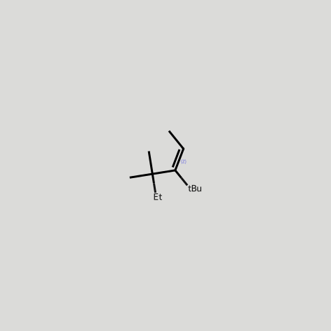 C/C=C(/C(C)(C)C)C(C)(C)CC